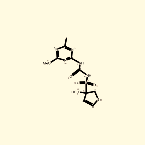 COc1nc(C)nc(NC(=O)NS(=O)(=O)C2(C(=O)O)C=CSC2)n1